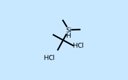 C[SiH](C)C(C)(C)C.Cl.Cl